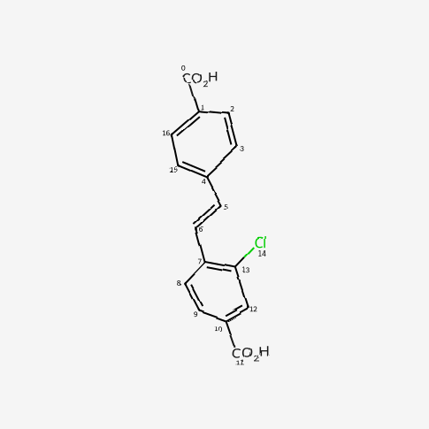 O=C(O)c1ccc(C=Cc2ccc(C(=O)O)cc2Cl)cc1